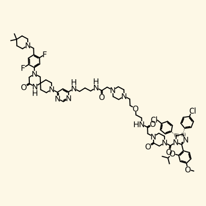 COc1ccc(C2=N[C@@H](c3ccc(Cl)cc3)[C@@H](c3ccc(Cl)cc3)N2C(=O)N2CCN(CC(=O)NCCOCCN3CCN(CC(=O)NCCCNc4cc(N5CCC6(CC5)CN(c5cc(F)c(CN7CCC(C)(C)CC7)cc5F)CC(=O)N6)ncn4)CC3)C(=O)C2)c(OC(C)C)c1